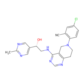 Cc1ncc([C@H](O)CNc2ncnc3c2CN(c2ccc(Cl)cc2C#N)CC3)cn1